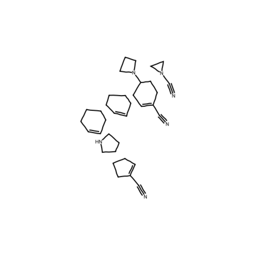 C1=CCCCC1.C1=CCCCC1.C1CCNC1.N#CC1=CCC(N2CCC2)CC1.N#CC1=CCCC1.N#CN1CC1